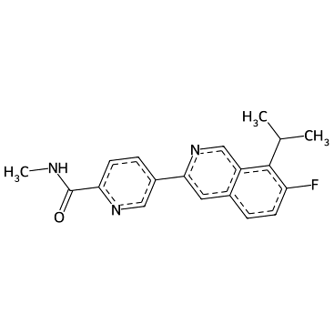 CNC(=O)c1ccc(-c2cc3ccc(F)c(C(C)C)c3cn2)cn1